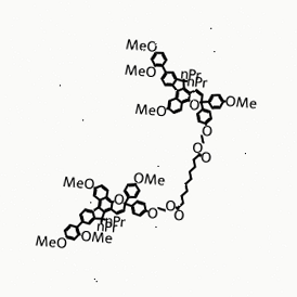 CCCC1(CCC)c2cc(-c3ccc(OC)cc3OC)ccc2-c2c1c1c(c3ccc(OC)cc23)OC(c2ccc(OC)cc2)(c2ccc(OCCOC(=O)CCCCCCCCC(=O)OCCOc3ccc(C4(c5ccc(OC)cc5)C=Cc5c6c(c7cc(OC)ccc7c5O4)-c4ccc(-c5ccc(OC)cc5OC)cc4C6(CCC)CCC)cc3)cc2)C=C1